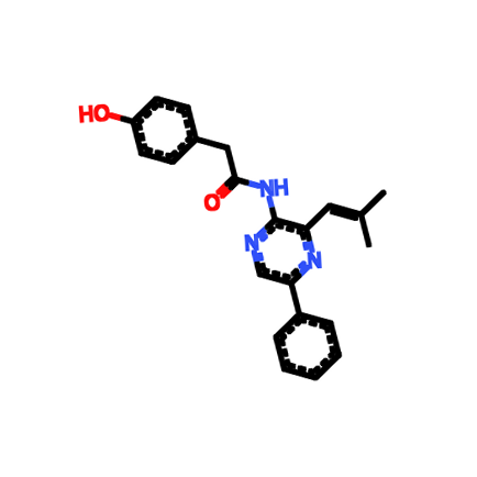 CC(C)=Cc1nc(-c2ccccc2)cnc1NC(=O)Cc1ccc(O)cc1